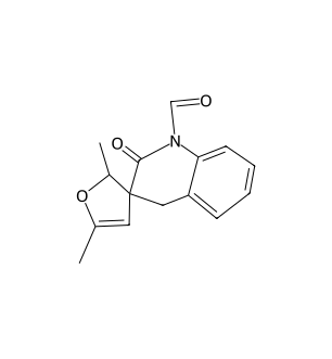 CC1=CC2(Cc3ccccc3N(C=O)C2=O)C(C)O1